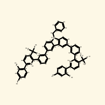 Fc1ccc(-c2ccc(C(F)(F)F)c(-c3cccc(-c4ccc5c(c4)c4cc(-c6cccc(-c7nc(-c8ccc(F)cc8F)ccc7C(F)(F)F)c6)ccc4n5Cc4ccccc4)c3)n2)c(F)c1